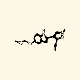 COCOc1ccc2[nH]c(-c3cn(C)nc3C#N)cc2c1